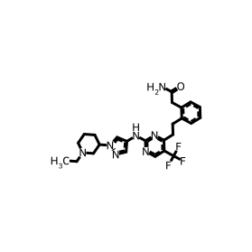 CCN1CCCC(n2cc(Nc3ncc(C(F)(F)F)c(CCc4ccccc4CC(N)=O)n3)cn2)C1